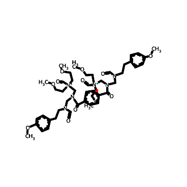 COCC[N+](C=O)(CCOC)CN(CN(C=O)CCc1ccc(OC)cc1)C(=O)c1ccc(C(=O)N(CN(C=O)CCc2ccc(OC)cc2)C[N+](C=O)(CCOC)CCOC)cc1